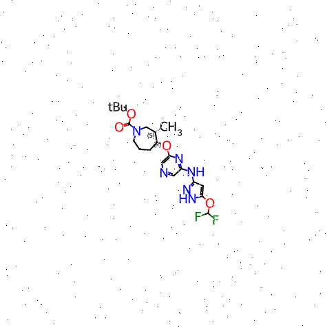 C[C@H]1CN(C(=O)OC(C)(C)C)CCC[C@H]1Oc1cncc(Nc2cc(OC(F)F)[nH]n2)n1